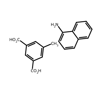 Cc1cc(C(=O)O)cc(C(=O)O)c1.Nc1cccc2ccccc12